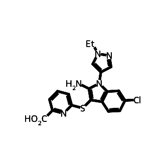 CCn1cc(-n2c(N)c(Sc3cccc(C(=O)O)n3)c3ccc(Cl)cc32)cn1